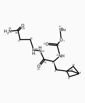 CC(C)(C)OC(=O)N[C@@H](CC12CC(C1)C2)C(=O)NNCCC(N)=O